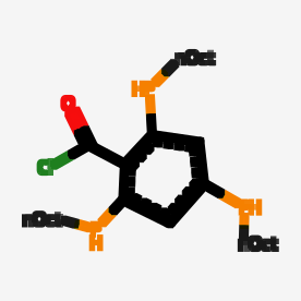 CCCCCCCCPc1cc(PCCCCCCCC)c(C(=O)Cl)c(PCCCCCCCC)c1